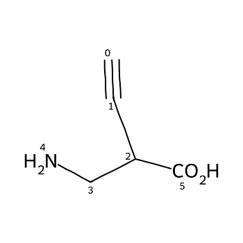 C#CC(CN)C(=O)O